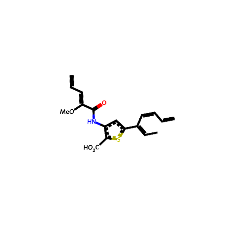 C=C/C=C\C(=C/C)c1cc(NC(=O)/C(=C/C=C)OC)c(C(=O)O)s1